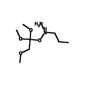 CCC[SiH](N)OC(COC)(OC)OC